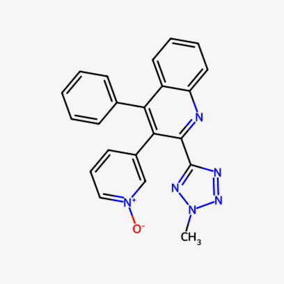 Cn1nnc(-c2nc3ccccc3c(-c3ccccc3)c2-c2ccc[n+]([O-])c2)n1